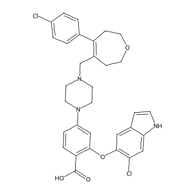 O=C(O)c1ccc(N2CCN(CC3=C(c4ccc(Cl)cc4)CCOCC3)CC2)cc1Oc1cc2cc[nH]c2cc1Cl